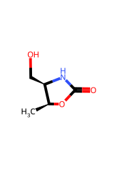 C[C@@H]1OC(=O)N[C@@H]1CO